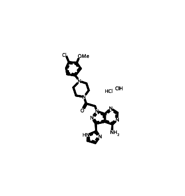 COc1cc(N2CCN(C(=O)Cn3nc(-c4ncc[nH]4)c4c(N)ncnc43)CC2)ccc1Cl.Cl.Cl